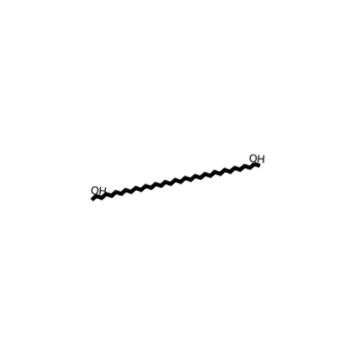 CC(O)CCCCCCCCCCCCCCCCCCCCCCCCCCCCCCCC(C)O